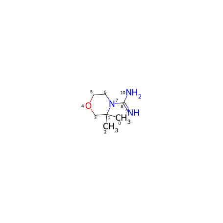 CC1(C)COCCN1C(=N)N